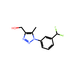 Cc1c(CO)nnn1-c1cccc(C(F)F)c1